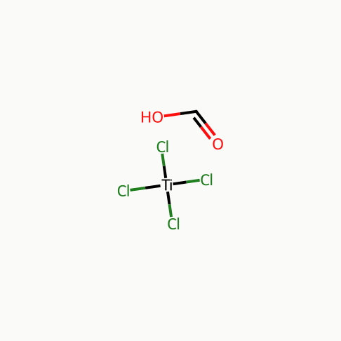 O=CO.[Cl][Ti]([Cl])([Cl])[Cl]